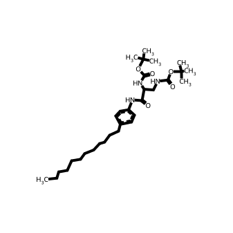 CCCCCCCCCCCCc1ccc(NC(=O)C(CNC(=O)OC(C)(C)C)NC(=O)OC(C)(C)C)cc1